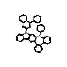 c1ccc(-c2nc(-n3c4ccccc4c4cc5c(cc43)N(c3ccccc3)c3ccccc3-c3ccccc3-5)nc3ccccc23)cc1